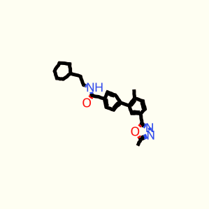 Cc1nnc(-c2ccc(C)c(-c3ccc(C(=O)NCCC4CCCCC4)cc3)c2)o1